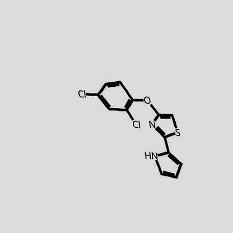 Clc1ccc(Oc2csc(-c3ccc[nH]3)n2)c(Cl)c1